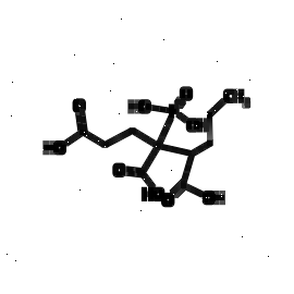 CCCC(C(=O)O)C(CCC(=O)O)(C(=O)O)P(=O)(O)O